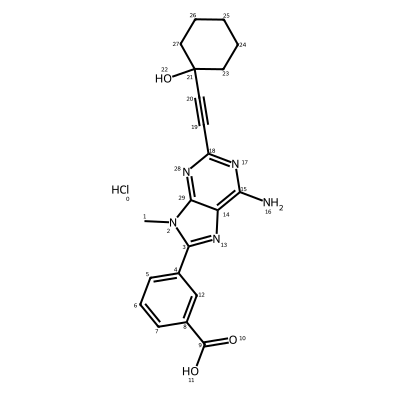 Cl.Cn1c(-c2cccc(C(=O)O)c2)nc2c(N)nc(C#CC3(O)CCCCC3)nc21